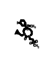 CN[C@@]1(c2cccc(F)c2)CCCN(CCS(C)(=O)=O)C(=O)N(CC2CC2)CC1